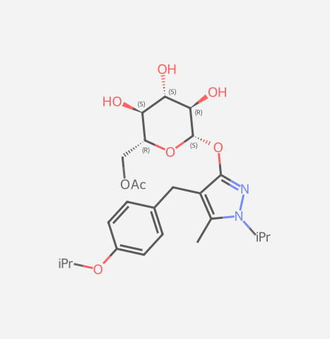 CC(=O)OC[C@H]1O[C@@H](Oc2nn(C(C)C)c(C)c2Cc2ccc(OC(C)C)cc2)[C@H](O)[C@@H](O)[C@@H]1O